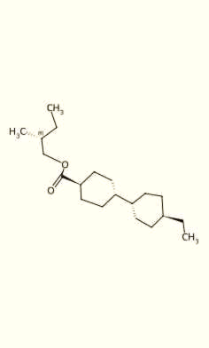 CC[C@@H](C)COC(=O)[C@H]1CC[C@H]([C@H]2CC[C@H](CC)CC2)CC1